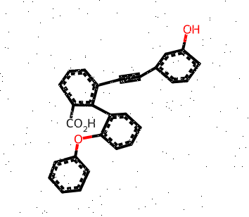 O=C(O)c1cccc(C#Cc2cccc(O)c2)c1-c1ccccc1Oc1ccccc1